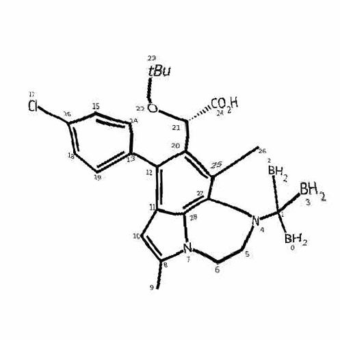 BC(B)(B)N1CCn2c(C)cc3c(-c4ccc(Cl)cc4)c([C@H](OC(C)(C)C)C(=O)O)c(C)c1c32